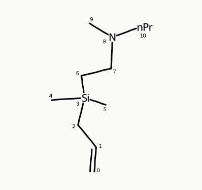 C=CC[Si](C)(C)CCN(C)CCC